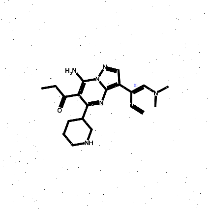 C=C/C(=C\N(C)C)c1cnn2c(N)c(C(=O)CC)c(C3CCCNC3)nc12